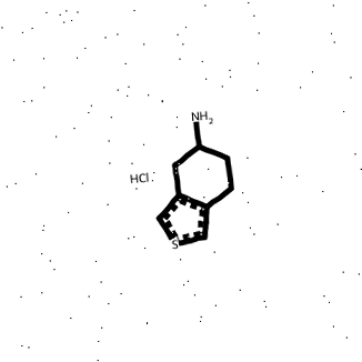 Cl.NC1CCc2cscc2C1